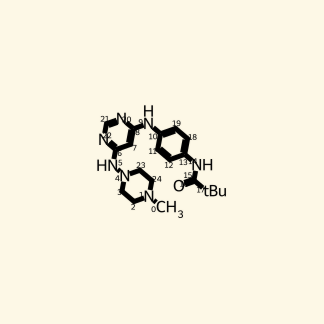 CN1CCN(Nc2cc(Nc3ccc(NC(=O)C(C)(C)C)cc3)ncn2)CC1